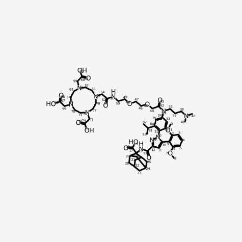 COc1cccc(OC)c1-c1cc(C(=O)NC2(C(=O)O)C3CC4CC(C3)CC2C4)nn1-c1ccc(N(CCCN(C)C)C(=O)COCCOCCNC(=O)CN2CCN(CC(=O)O)CCN(CC(=O)O)CCN(CC(=O)O)CC2)cc1C(C)C